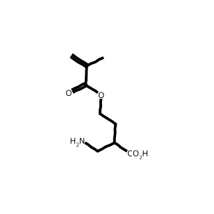 C=C(C)C(=O)OCCC(CN)C(=O)O